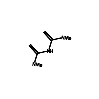 C=C(NC)NC(=C)NC